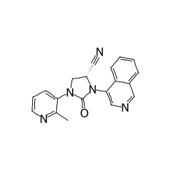 Cc1ncccc1N1C[C@H](C#N)N(c2cncc3ccccc23)C1=O